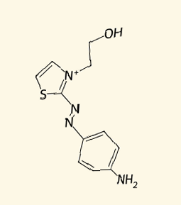 Nc1ccc(N=Nc2scc[n+]2CCO)cc1